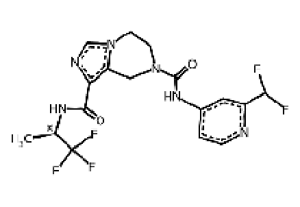 C[C@@H](NC(=O)c1ncn2c1CN(C(=O)Nc1ccnc(C(F)F)c1)CC2)C(F)(F)F